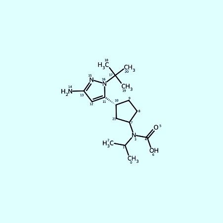 CC(C)N(C(=O)O)C1CC[C@@H](c2cc(N)nn2C(C)(C)C)C1